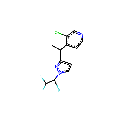 CC(c1ccn(C(F)C(F)F)n1)c1ccncc1Cl